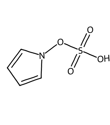 O=S(=O)(O)On1cccc1